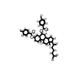 Cc1ccc(C(=O)OC2CCC3(C)C(C2)C(OC(=O)c2ccc(C)cc2)CC2C4CCC(C(C)CCCC(C)C)C4(C)CCC23)cc1